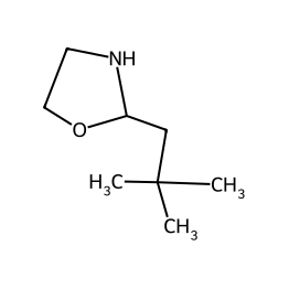 CC(C)(C)CC1NCCO1